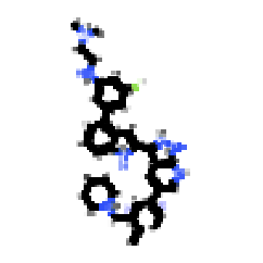 C=C/C(=C\C(=C/C)c1cnc2[nH]nc(-c3cc4c(-c5cc(F)cc(NCCN(C)C)c5)cccc4[nH]3)c2c1)CN1CCCCC1